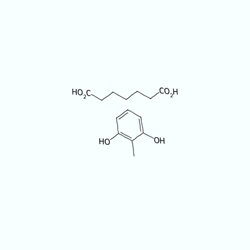 Cc1c(O)cccc1O.O=C(O)CCCCCC(=O)O